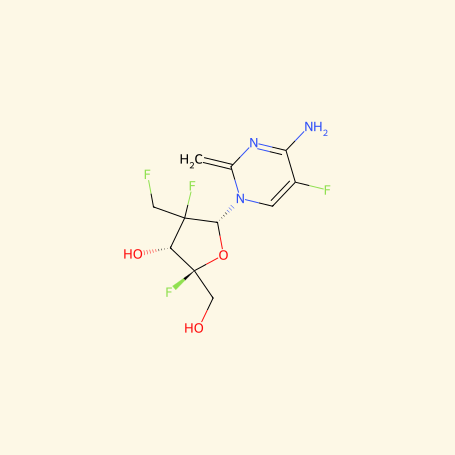 C=C1N=C(N)C(F)=CN1[C@@H]1O[C@](F)(CO)[C@H](O)C1(F)CF